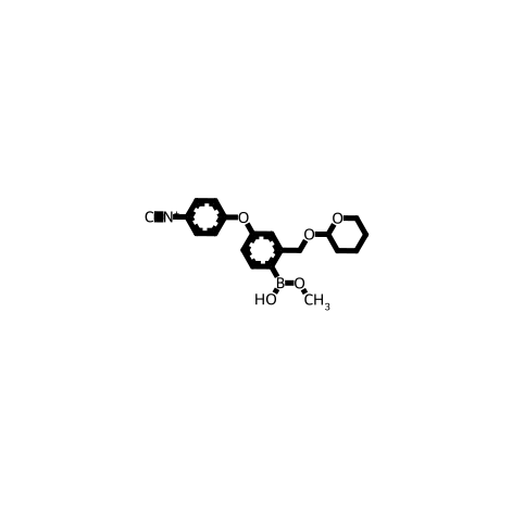 [C-]#[N+]c1ccc(Oc2ccc(B(O)OC)c(COC3CCCCO3)c2)cc1